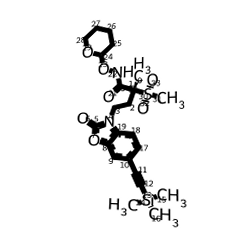 C[C@@](CCn1c(=O)oc2cc(C#C[Si](C)(C)C)ccc21)(C(=O)NOC1CCCCO1)S(C)(=O)=O